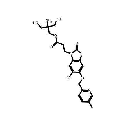 Cc1ccc(COc2cc3oc(=O)n(CCC(=O)OCC(N)(CO)CO)c3cc2Cl)nc1